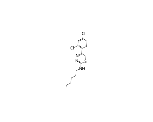 CCCCCCNC1=NN=C(c2ccc(Cl)cc2Cl)CS1